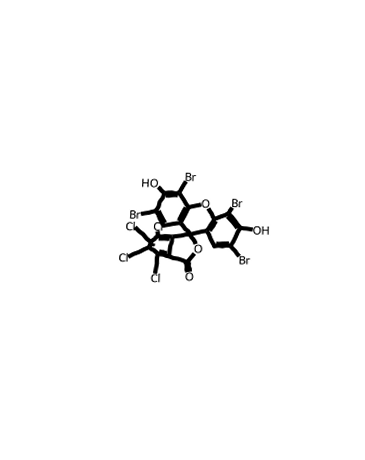 O=C1OC2(c3cc(Br)c(O)c(Br)c3Oc3c2cc(Br)c(O)c3Br)c2c(Cl)c(Cl)c(Cl)c(Cl)c21